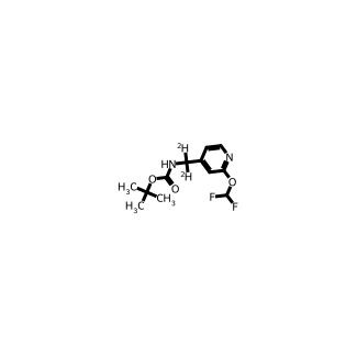 [2H]C([2H])(NC(=O)OC(C)(C)C)c1ccnc(OC(F)F)c1